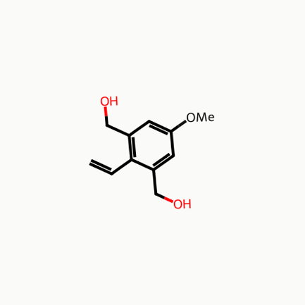 C=Cc1c(CO)cc(OC)cc1CO